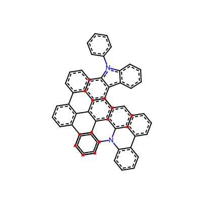 c1ccc(-c2ccccc2-c2c(-c3ccccc3)cccc2-c2cccc(N(c3cccc(-c4cccc5c4c4ccccc4n5-c4ccccc4)c3)c3ccccc3-c3ccccc3)c2)cc1